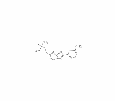 CCOc1cccc(-c2nc3cc(CC[C@@](C)(N)CO)ccc3o2)c1